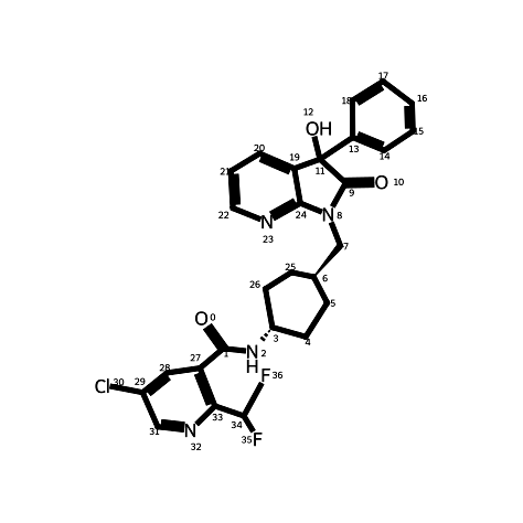 O=C(N[C@H]1CC[C@H](CN2C(=O)C(O)(c3ccccc3)c3cccnc32)CC1)c1cc(Cl)cnc1C(F)F